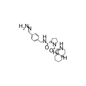 NN=Cc1ccc(CNC(=O)[C@@H]2CCCN2C(=O)[C@@H]2NCC[C@@H]3CCCC[C@@H]32)cc1